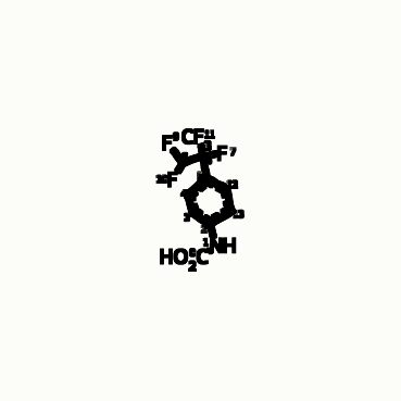 O=C(O)Nc1ccc(C(F)(C(F)F)C(F)(F)F)cc1